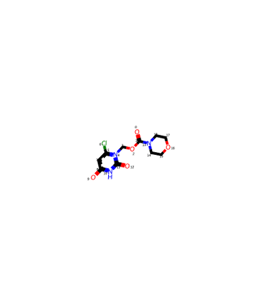 O=C(OCn1c(Cl)cc(=O)[nH]c1=O)N1CCOCC1